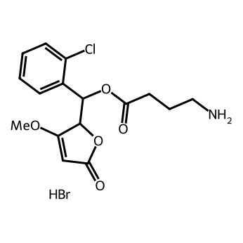 Br.COC1=CC(=O)OC1C(OC(=O)CCCN)c1ccccc1Cl